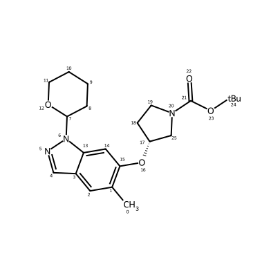 Cc1cc2cnn(C3CCCCO3)c2cc1O[C@@H]1CCN(C(=O)OC(C)(C)C)C1